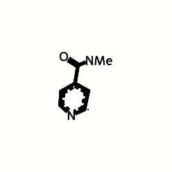 CNC(=O)c1c[c]ncc1